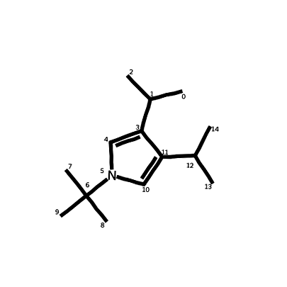 CC(C)c1cn(C(C)(C)C)cc1C(C)C